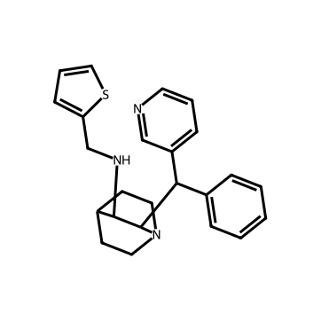 c1ccc(C(c2cccnc2)C2C(NCc3cccs3)C3CCN2CC3)cc1